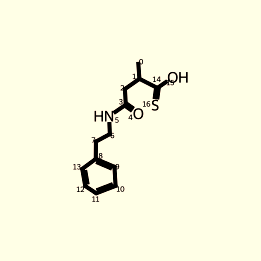 CC(CC(=O)NCCc1ccccc1)C(O)=S